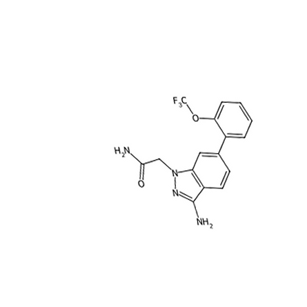 NC(=O)Cn1nc(N)c2ccc(-c3ccccc3OC(F)(F)F)cc21